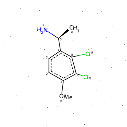 COc1ccc([C@H](C)N)c(Cl)c1Cl